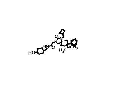 CN(C)[C@]1(c2ccccc2)CC[C@]2(CC1)CN(CC(=O)NCC1CCC(O)CC1)C(=O)N2CC1CCC1